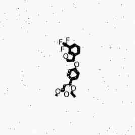 CCO[C@@H](CC(=O)OC)c1ccc(OC2COc3c2cccc3C(F)(F)F)cc1